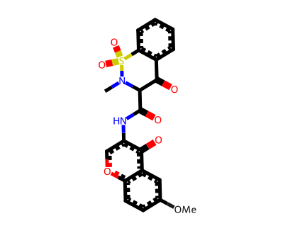 COc1ccc2occ(NC(=O)C3C(=O)c4ccccc4S(=O)(=O)N3C)c(=O)c2c1